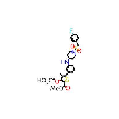 COC(=O)c1sc(-c2cccc(NC3CCN(S(=O)(=O)Cc4ccc(F)cc4)CC3)c2)c(C)c1OCC(=O)O